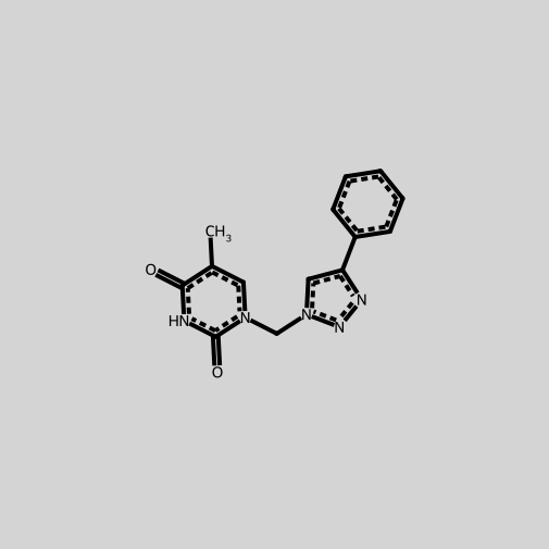 Cc1cn(Cn2cc(-c3ccccc3)nn2)c(=O)[nH]c1=O